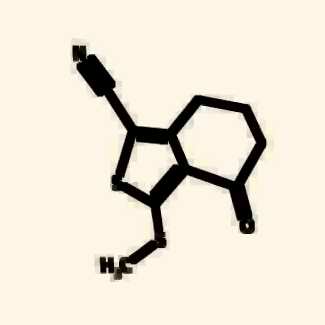 CSc1sc(C#N)c2c1C(=O)CCC2